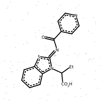 CCC(C(=O)O)n1/c(=N/C(=O)c2ccncc2)sc2ccccc21